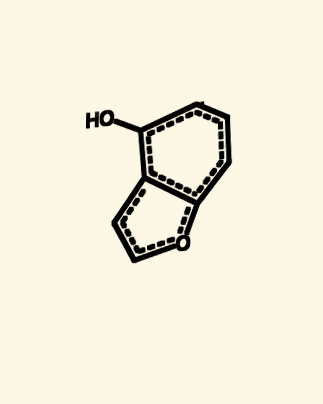 Oc1[c]ccc2occc12